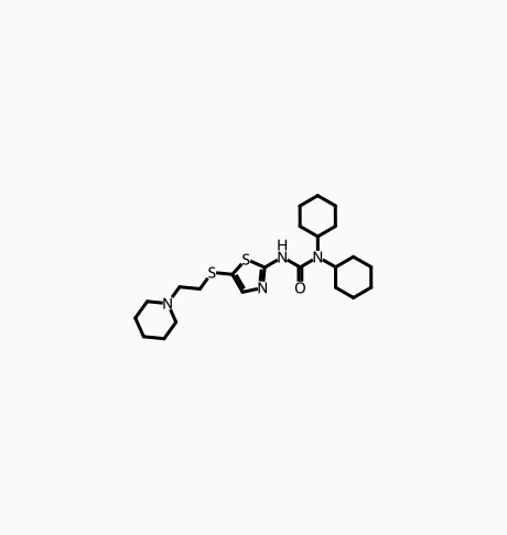 O=C(Nc1ncc(SCCN2CCCCC2)s1)N(C1CCCCC1)C1CCCCC1